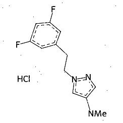 CNc1cnn(CCc2cc(F)cc(F)c2)c1.Cl